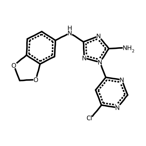 Nc1nc(Nc2ccc3c(c2)OCO3)nn1-c1cc(Cl)ncn1